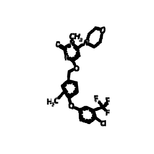 Cc1cc(COc2cc(N3CCOCC3)n(C)c(=O)n2)ccc1Oc1ccc(Cl)c(C(F)(F)F)c1